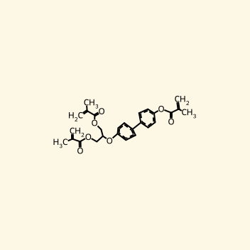 C=C(C)C(=O)OCC(COC(=O)C(=C)C)Oc1ccc(-c2ccc(OC(=O)C(=C)C)cc2)cc1